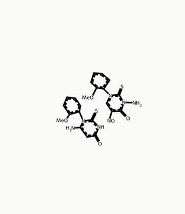 COc1ccccc1-n1c(N)cc(=O)[nH]c1=S.COc1ccccc1-n1cc(N=O)c(=O)n(N)c1=S